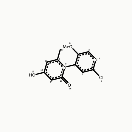 COc1cnc(Cl)cc1-n1c(C)cc(O)cc1=O